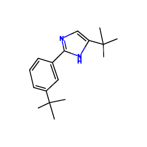 CC(C)(C)c1cccc(-c2ncc(C(C)(C)C)[nH]2)c1